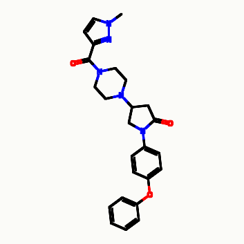 Cn1ccc(C(=O)N2CCN(C3CC(=O)N(c4ccc(Oc5ccccc5)cc4)C3)CC2)n1